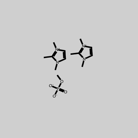 COP(=O)([O-])[O-].Cc1n(C)cc[n+]1C.Cc1n(C)cc[n+]1C